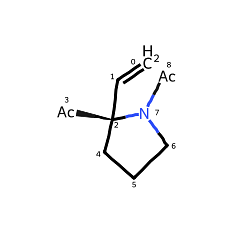 C=C[C@@]1(C(C)=O)CCCN1C(C)=O